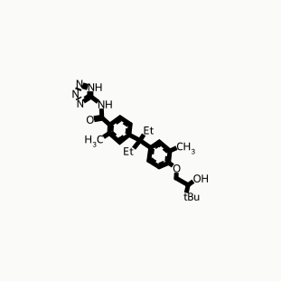 CCC(CC)(c1ccc(OCC(O)C(C)(C)C)c(C)c1)c1ccc(C(=O)Nc2nnn[nH]2)c(C)c1